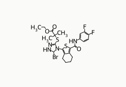 CCOC(=O)C(C)(C)SC1=NNC(Br)N1c1sc(C(=O)Nc2ccc(F)c(F)c2)c2c1CCCC2